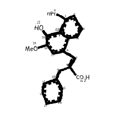 CCCc1cccc2c(C=C(Cc3ccccc3)C(=O)O)cc(OC)c(O)c12